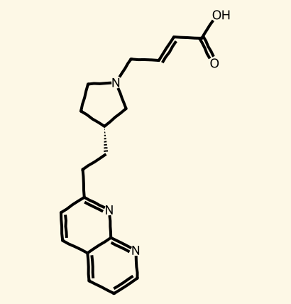 O=C(O)/C=C/CN1CC[C@@H](CCc2ccc3cccnc3n2)C1